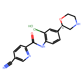 Cl.N#Cc1ccc(C(=O)Nc2ccc([C@@H]3CNCCO3)cc2Cl)nc1